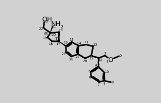 COCC(c1cccc(C)c1)C1CCc2cc([C@H]3CC[C@](N)(CO)C3)ccc2C1